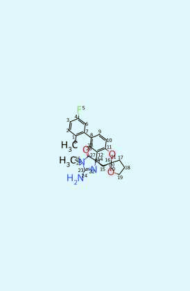 Cc1ccc(F)cc1-c1ccc2c(c1)[C@]1(C[C@]3(CCCO3)O2)N=C(N)N(C)C1=O